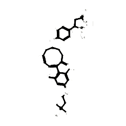 C=C1CC[C@@H](Oc2ccc(C3CC(=O)N[S+]3[O-])cc2)C/C=C\C=C/1c1c(C)cc(OCCC(C)(C)O)cc1C